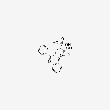 O=C(c1ccccc1)C(CC(P(=O)(O)O)P(=O)(O)O)Sc1ccccc1